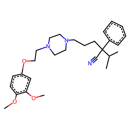 COc1ccc(OCCN2CCN(CCCC(C#N)(c3ccccc3)C(C)C)CC2)cc1OC